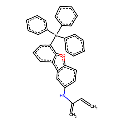 C=CC(=C)Nc1ccc2oc3c([Si](c4ccccc4)(c4ccccc4)c4ccccc4)cccc3c2c1